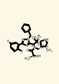 C[C@H](O)C(=O)N(C[C@@H]1CNC[C@@H]1C)[C@@H](c1nc(-c2cc(F)ccc2F)nn1Cc1ccccc1)C(C)(C)C